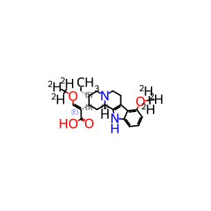 [2H]C([2H])([2H])O/C=C(/C(=O)O)[C@H]1C[C@H]2c3[nH]c4cccc(OC([2H])([2H])[2H])c4c3CCN2C[C@H]1CC